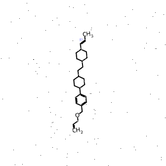 C=CCOCc1ccc(C2CCC(CCC3CCC(/C=C/C)CC3)CC2)cc1